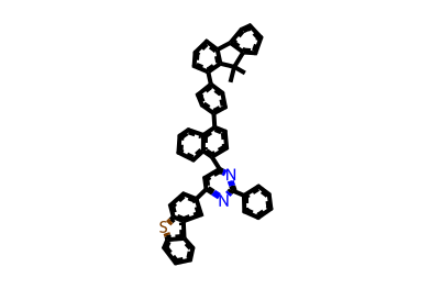 CC1(C)c2ccccc2-c2cccc(-c3ccc(-c4ccc(-c5cc(-c6ccc7sc8ccccc8c7c6)nc(-c6ccccc6)n5)c5ccccc45)cc3)c21